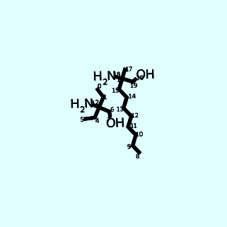 CCC(N)(CC)CO.CCCCCCCCC(C)(N)CO